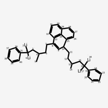 [Li][C]([Li])(CC(C)CCC1=CC(CCC(C)C[C]([Li])([Li])c2ccccc2)c2cccc3cccc1c23)c1ccccc1